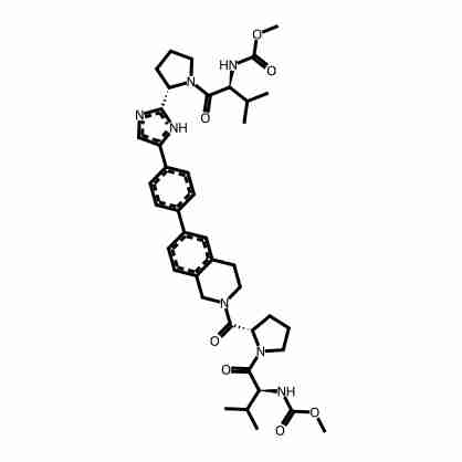 COC(=O)N[C@H](C(=O)N1CCC[C@H]1C(=O)N1CCc2cc(-c3ccc(-c4cnc([C@@H]5CCCN5C(=O)[C@@H](NC(=O)OC)C(C)C)[nH]4)cc3)ccc2C1)C(C)C